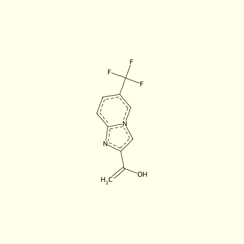 C=C(O)c1cn2cc(C(F)(F)F)ccc2n1